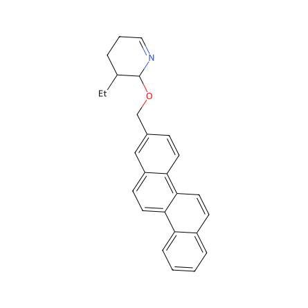 CCC1CCC=NC1OCc1ccc2c(ccc3c4ccccc4ccc23)c1